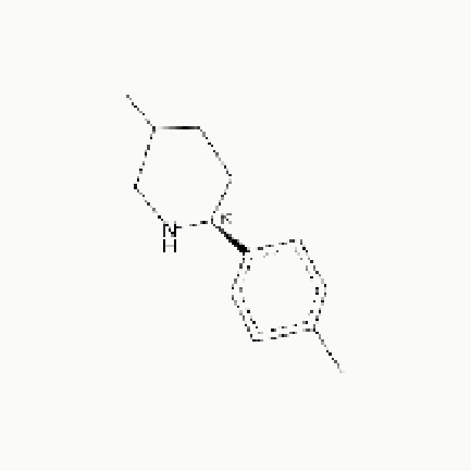 Cc1ccc([C@@H]2CCC(C)CN2)cc1